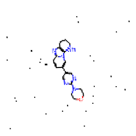 c1cc2nc3c(n2cc1-c1cnc(N2CCOCC2)nc1)NCCC3